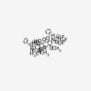 COc1cc(NC(=O)[C@@H]2CCCN2C(=O)C(F)(F)F)c(OCc2ccccc2)c2c1C[C@H]1C[C@H]3[C@H](N(C)C)c4onc(OCc5ccccc5)c4C(=O)[C@@]3(O)C(O)=C1C2=O